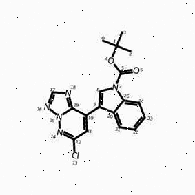 CC(C)(C)OC(=O)n1cc(-c2cc(Cl)nn3ncnc23)c2ccccc21